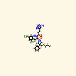 CCCCCC1(c2ccccc2)CN(C(=O)C(Cc2ccc(Cl)cc2Cl)NC(=O)CCc2c[nH]cn2)C1